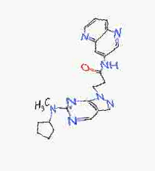 CN(c1ncc2cnn(CCC(=O)Nc3cnc4cccnc4c3)c2n1)C1CCCC1